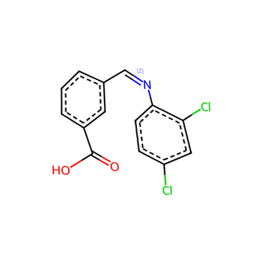 O=C(O)c1cccc(/C=N\c2ccc(Cl)cc2Cl)c1